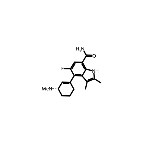 CN[C@@H]1C=C(c2c(F)cc(C(N)=O)c3[nH]c(C)c(C)c23)CCC1